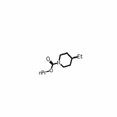 [CH2]CC1CCN(C(=O)OCCC)CC1